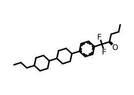 CCCC(=O)C(F)(F)c1ccc(C2CCC(C3CCC(CCC)CC3)CC2)cc1